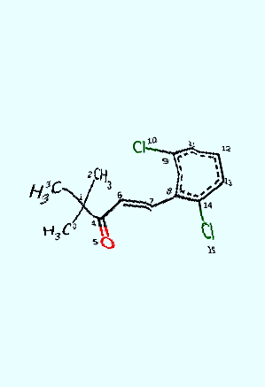 CC(C)(C)C(=O)/C=C/c1c(Cl)cccc1Cl